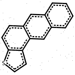 c1ccc2cc3c(ccc4sccc43)cc2c1